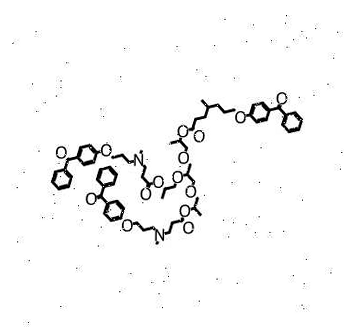 CC(CCCOc1ccc(C(=O)c2ccccc2)cc1)CCC(=O)OC(C)COCC(COCC(C)OC(=O)CCN(C)CCCOc1ccc(C(=O)c2ccccc2)cc1)OCC(C)OC(=O)CCN(C)CCCOc1ccc(C(=O)c2ccccc2)cc1